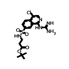 CC(C)(C)OC(=O)CCNS(=O)(=O)c1ccc2c(Cl)cnc(NC(=N)N)c2c1